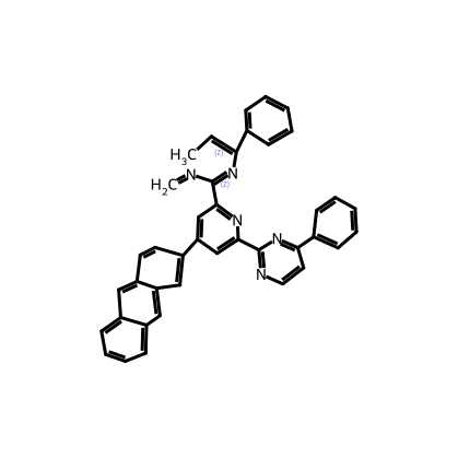 C=N/C(=N\C(=C/C)c1ccccc1)c1cc(-c2ccc3cc4ccccc4cc3c2)cc(-c2nccc(-c3ccccc3)n2)n1